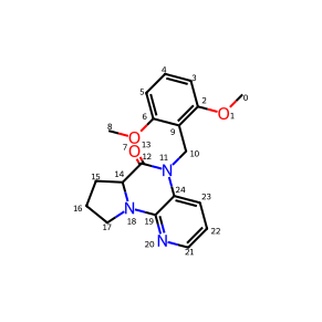 COc1cccc(OC)c1CN1C(=O)C2CCCN2c2ncccc21